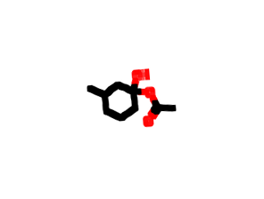 CC(=O)OC1(O)CCCC(C)C1